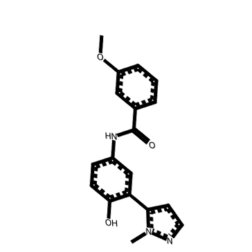 COc1cccc(C(=O)Nc2ccc(O)c(-c3ccnn3C)c2)c1